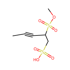 CC#CC(CS(=O)(=O)O)S(=O)(=O)OC